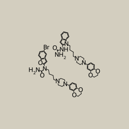 NC(=O)N(CCCCN1CCN(c2ccc3c(c2)OCCO3)CC1)c1cc2cc(Br)ccc2o1.NC(=O)Nc1cc2ccccc2n1CCCCN1CCN(c2ccc3c(c2)OCCO3)CC1